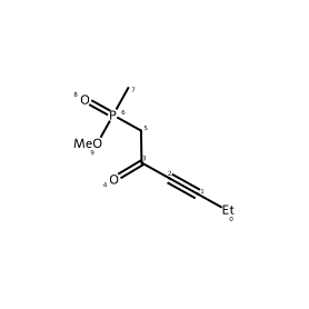 CCC#CC(=O)CP(C)(=O)OC